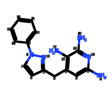 Nc1cc(Cc2ccn(-c3ccccc3)n2)c(N)c(N)n1